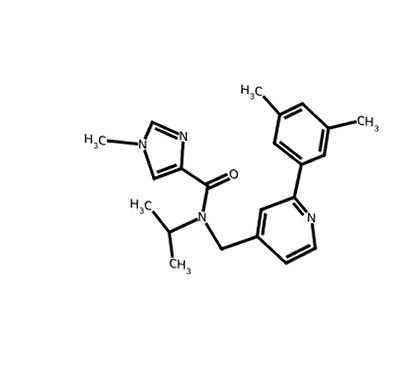 Cc1cc(C)cc(-c2cc(CN(C(=O)c3cn(C)cn3)C(C)C)ccn2)c1